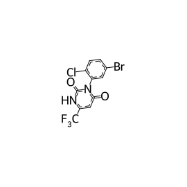 O=c1cc(C(F)(F)F)[nH]c(=O)n1-c1cc(Br)ccc1Cl